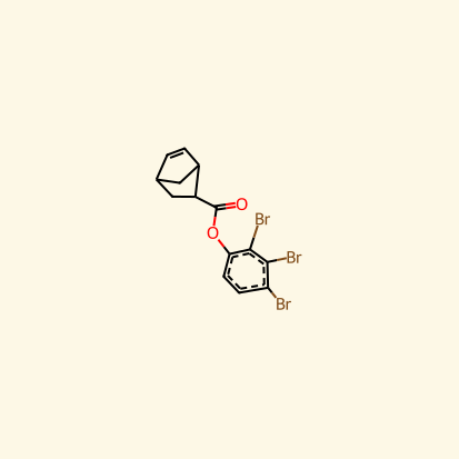 O=C(Oc1ccc(Br)c(Br)c1Br)C1CC2C=CC1C2